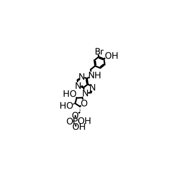 O=P(O)(O)OC[C@H]1O[C@@H](n2cnc3c(NCc4ccc(O)c(Br)c4)ncnc32)[C@H](O)[C@@H]1O